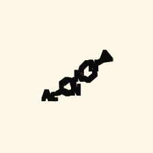 CC(=O)c1ccc(N2CCN(C3CC3)CC2)nc1